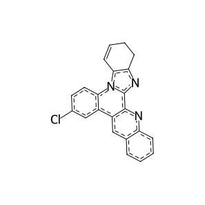 Clc1ccc2c(c1)c1cc3ccccc3nc1c1nc3c(n21)C=CCC3